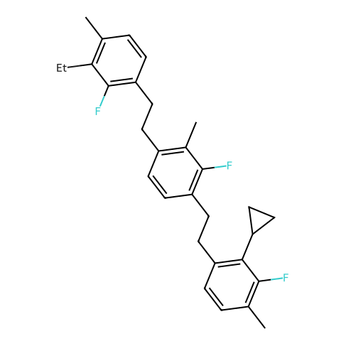 CCc1c(C)ccc(CCc2ccc(CCc3ccc(C)c(F)c3C3CC3)c(F)c2C)c1F